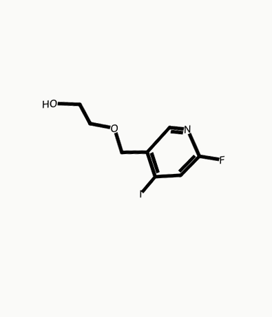 OCCOCc1cnc(F)cc1I